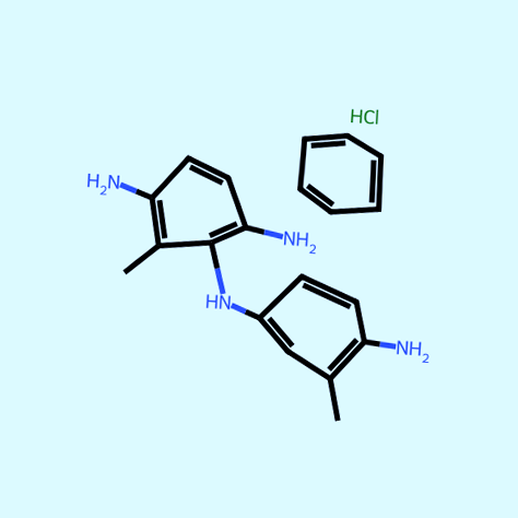 Cc1cc(Nc2c(N)ccc(N)c2C)ccc1N.Cl.c1ccccc1